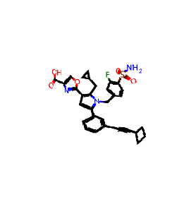 NS(=O)(=O)c1ccc(Cn2c(-c3cccc(C#CC4CCC4)c3)cc(-c3nc(C(=O)O)co3)c2CC2CC2)cc1F